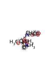 COc1ccc(OCCCN(C)CCOc2ccc3c(c2)OOC3)c(C2(OC)Sc3ccccc3N(C)C2=O)c1